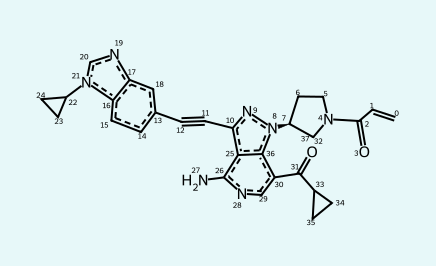 C=CC(=O)N1CC[C@H](n2nc(C#Cc3ccc4c(c3)ncn4C3CC3)c3c(N)ncc(C(=O)C4CC4)c32)C1